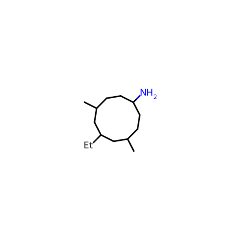 CCC1CC(C)CCC(N)CCC(C)C1